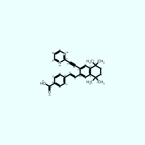 CC1(C)CCC(C)(C)c2cc(C=Cc3ccc(C(=O)O)cc3)c(C#Cc3ncccn3)cc21